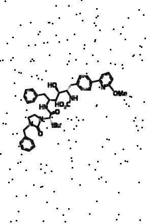 COc1cccc(-c2ccc(C[C@H](NC(=O)O)[C@H](O)C[C@H](Cc3ccccc3)NC(=O)[C@@H](N3CCN(Cc4ccccc4)C3=O)C(C)(C)C)cc2)n1